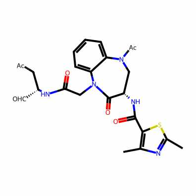 CC(=O)C[C@@H](C=O)NC(=O)CN1C(=O)[C@@H](NC(=O)c2sc(C)nc2C)CN(C(C)=O)c2ccccc21